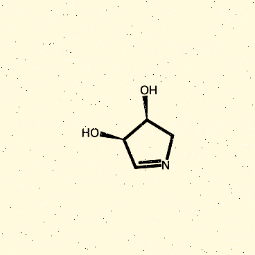 O[C@@H]1C=NC[C@@H]1O